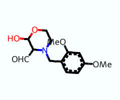 COc1ccc(CN2CCOC(O)C2C=O)c(OC)c1